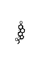 CCC(=O)[C@H]1CCC2C3CCC4=CC(=O)CC[C@]4(C)C3=CC[C@@]21C